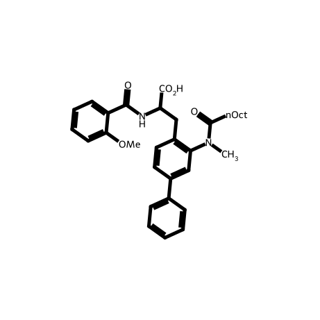 CCCCCCCCC(=O)N(C)c1cc(-c2ccccc2)ccc1CC(NC(=O)c1ccccc1OC)C(=O)O